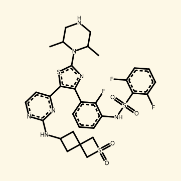 CC1CNCC(C)N1c1nc(-c2cccc(NS(=O)(=O)c3c(F)cccc3F)c2F)c(-c2ccnc(NC3CC4(C3)CS(=O)(=O)C4)n2)s1